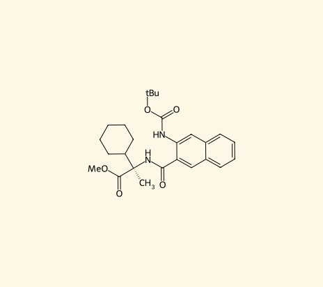 COC(=O)[C@](C)(NC(=O)c1cc2ccccc2cc1NC(=O)OC(C)(C)C)C1CCCCC1